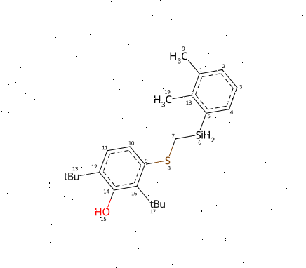 Cc1cccc([SiH2]CSc2ccc(C(C)(C)C)c(O)c2C(C)(C)C)c1C